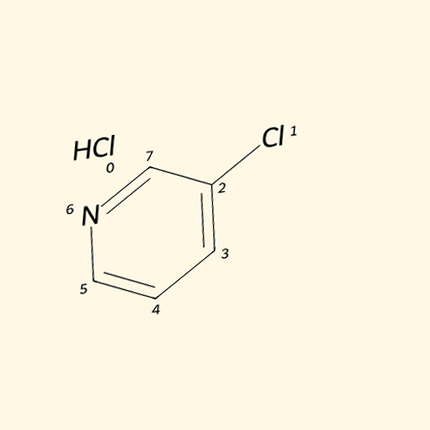 Cl.Clc1cccnc1